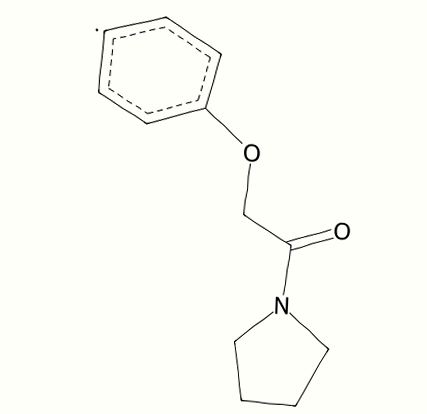 O=C(COc1cc[c]cc1)N1CCCC1